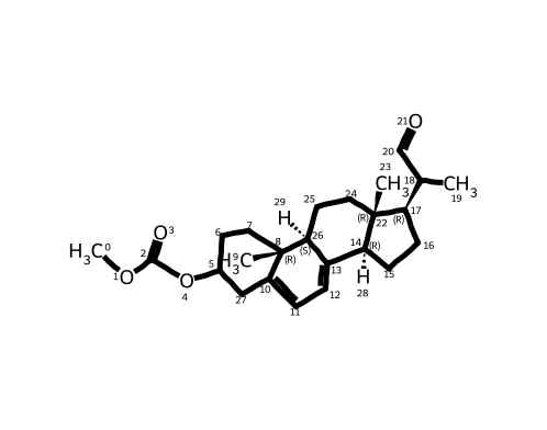 COC(=O)OC1CC[C@@]2(C)C(=CC=C3[C@@H]4CC[C@H](C(C)C=O)[C@@]4(C)CC[C@@H]32)C1